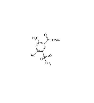 COC(=O)c1cc(S(C)(=O)=O)c(C(C)=O)cc1C